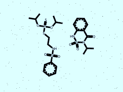 CC(C)N1C(=O)c2ccccc2NS1(=O)=O.CC(C)OP(=S)(OC(C)C)SCCNS(=O)(=O)c1ccccc1